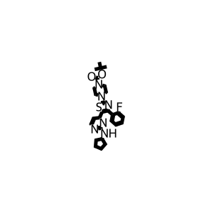 CC(C)(C)OC(=O)N1CCN(c2nc(-c3ccccc3F)c(-c3ccnc(NC4CCCC4)n3)s2)CC1